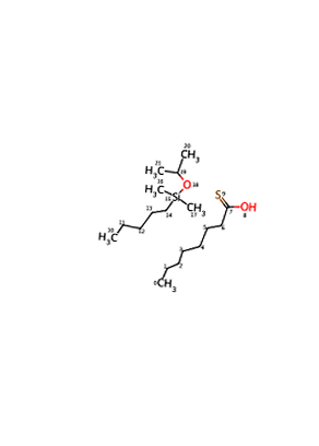 CCCCCCCC(O)=S.CCCCC[Si](C)(C)OC(C)C